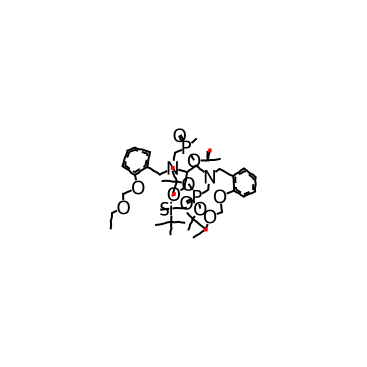 CCOCOc1ccccc1CN(CC(CO[Si](C)(C)C(C)(C)C)N(Cc1ccccc1OCOCC)CP(C)(=O)OC(C)(C)C)CP(=O)(OC(C)(C)C)OC(C)(C)C